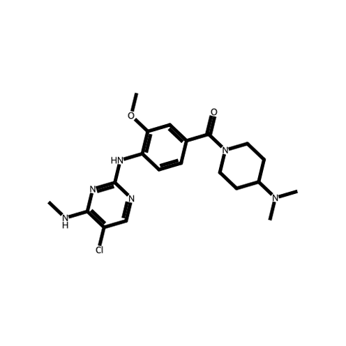 CNc1nc(Nc2ccc(C(=O)N3CCC(N(C)C)CC3)cc2OC)ncc1Cl